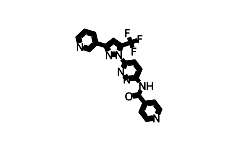 O=C(Nc1ccc(-n2nc(-c3cccnc3)cc2C(F)(F)F)nn1)c1ccncc1